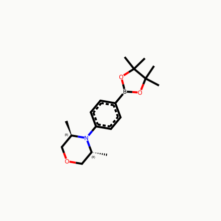 C[C@@H]1COC[C@@H](C)N1c1ccc(B2OC(C)(C)C(C)(C)O2)cc1